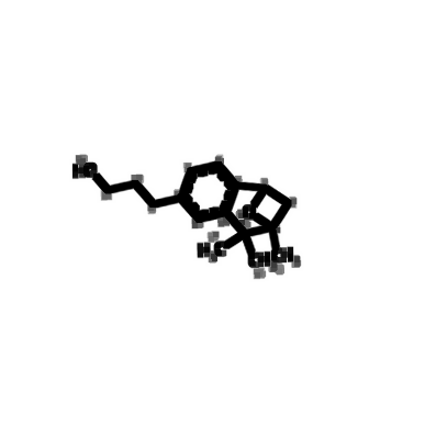 CC12CC(O1)c1ccc(CCCO)cc1C2(C)C